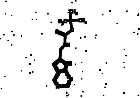 CC(C)(C)OC(=O)NCc1cc2cncnc2[nH]1